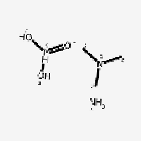 CN(C)C.N.O=[PH](O)O